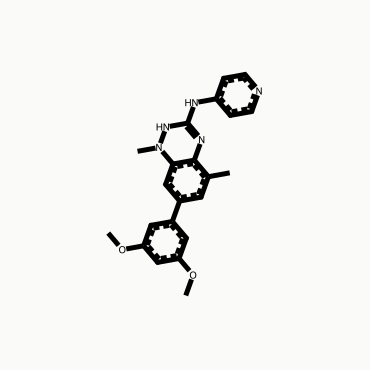 COc1cc(OC)cc(-c2cc(C)c3c(c2)N(C)NC(Nc2ccncc2)=N3)c1